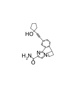 NC(=O)c1cn2c(n1)-c1cc(C#CC3(O)CCCC3)ccc1C1CC2C1